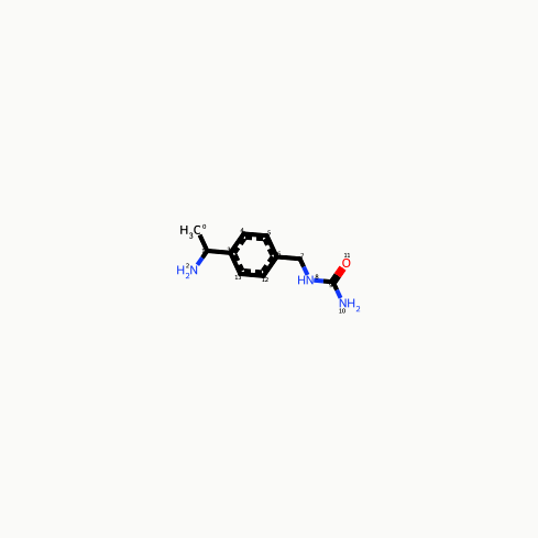 CC(N)c1ccc(CNC(N)=O)cc1